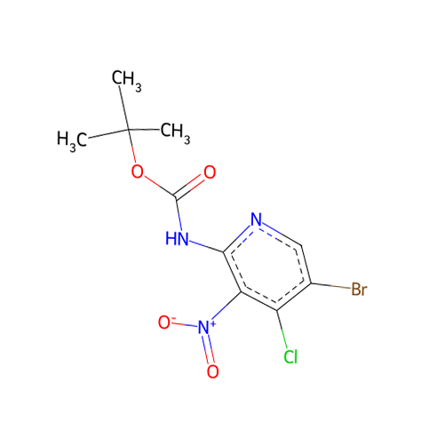 CC(C)(C)OC(=O)Nc1ncc(Br)c(Cl)c1[N+](=O)[O-]